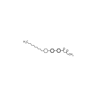 CCCCCCCCCCC1CCC(c2ccc(-c3ccc(C(=O)CC(=O)CC)cc3)cc2)CC1